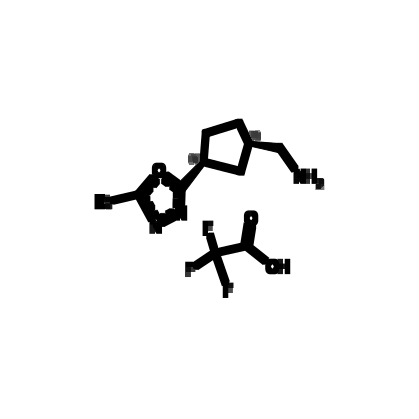 CCc1nnc([C@H]2CC[C@@H](CN)C2)o1.O=C(O)C(F)(F)F